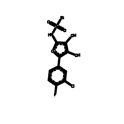 CCS(=O)(=O)Nc1oc(-c2ccc(F)c(Cl)c2)c(O)c1O